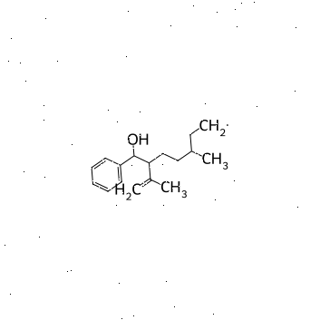 [CH2]CC(C)CCC(C(=C)C)C(O)c1ccccc1